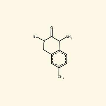 CCN1Cc2cc(C)ccc2C(N)C1=O